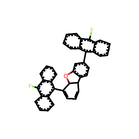 Fc1c2ccccc2c(C2=CC=CC3c4ccc(-c5c6ccccc6c(F)c6ccccc56)cc4OC23)c2ccccc12